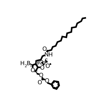 B[C@@H]1O[C@H](COC(=O)OCc2ccccc2)C(OP(O)(=S)OC)[C@@H]1CCCNC(=O)CCCCCCCCCCCCCCC